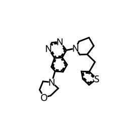 c1csc(CC2CCCN(c3ncnc4cc(N5CCOCC5)ccc34)C2)c1